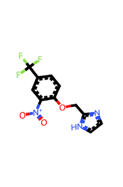 O=[N+]([O-])c1cc(C(F)(F)F)ccc1OCc1ncc[nH]1